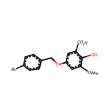 CCC(C)c1ccc(COc2cc(OC)c(O)c(C(=O)O)c2)cc1